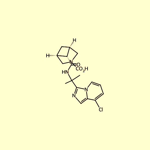 CC(C)(NC(=O)[C@@H]1[C@@H]2C[C@H]1CN(C(=O)O)C2)c1ncc2c(Cl)cccn12